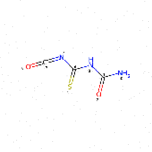 NC(=O)NC(=S)N=C=O